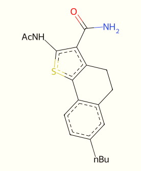 CCCCc1ccc2c(c1)CCc1c-2sc(NC(C)=O)c1C(N)=O